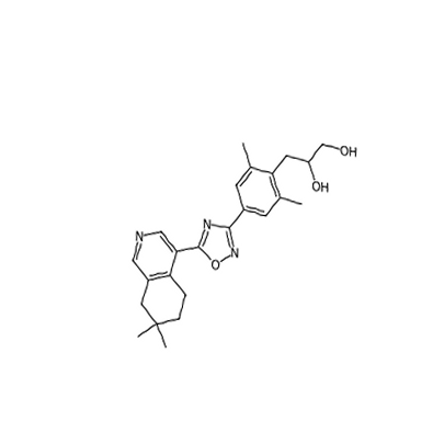 Cc1cc(-c2noc(-c3cncc4c3CCC(C)(C)C4)n2)cc(C)c1CC(O)CO